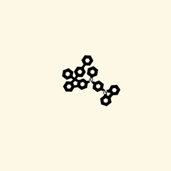 c1ccc(-c2ccc(C3(c4ccccc4)c4ccccc4-c4ccc(N(c5ccccc5)c5ccc(-n6c7ccccc7c7ccccc76)cc5)cc43)cc2)cc1